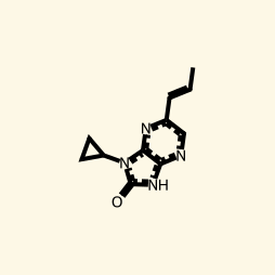 C/C=C/c1cnc2[nH]c(=O)n(C3CC3)c2n1